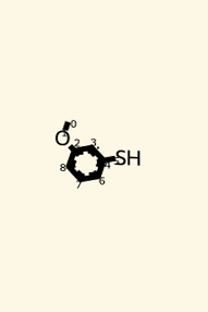 COc1[c]c(S)ccc1